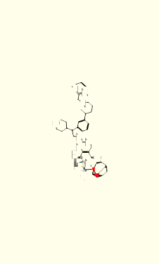 O=C(NC1(C(=O)O)C2CCC3CC(C2)CC1C3)c1cnc(N2CC(C3CCOCC3)c3cc(C4CCCN(Cc5ncccn5)C4)ccc32)nc1C(F)(F)F